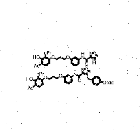 CCCc1c(OCCCOc2cccc(NC(=O)c3nnn[nH]3)c2)ccc(C(C)=O)c1O.CCCc1c(OCCCOc2cccc(NC(=O)c3nnnn3Cc3ccc(OC)cc3)c2)ccc(C(C)=O)c1O